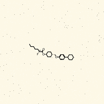 CCCCC[C@@H](F)C(=O)O[C@H]1CC[C@H](COc2ccc(C3CC[CH]CC3)cc2)CC1